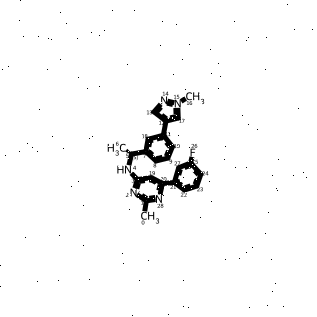 Cc1nc(N[C@@H](C)c2cccc(-c3cnn(C)c3)c2)cc(-c2cccc(F)c2)n1